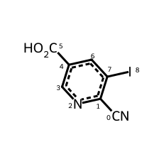 N#Cc1ncc(C(=O)O)cc1I